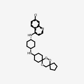 Clc1ccc2c(N[C@H]3CC[C@H](NC4CCC5(CC4)OCC4(CCCC4)OO5)CC3)ccnc2c1